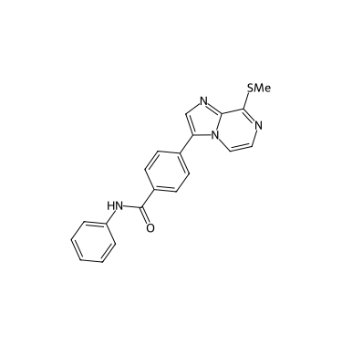 CSc1nccn2c(-c3ccc(C(=O)Nc4ccccc4)cc3)cnc12